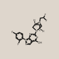 Oc1nc(N2C[C@H]3C[C@@H]2CN3CC(F)F)nc2c1cnn2-c1ccc(F)cc1F